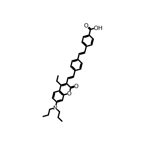 CCCN(CCC)c1ccc2c(CC)c(/C=C/c3ccc(/C=C/c4ccc(C(=O)O)cc4)cc3)c(=O)oc2c1